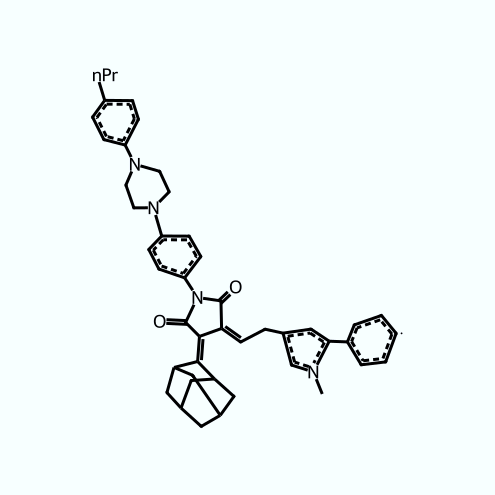 CCCc1ccc(N2CCN(c3ccc(N4C(=O)C(=CCc5cc(-c6cc[c]cc6)n(C)c5)C(=C5C6CC7CC(C6)CC5C7)C4=O)cc3)CC2)cc1